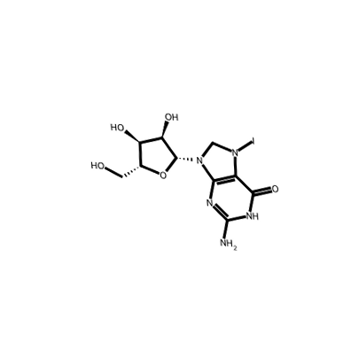 Nc1nc2c(c(=O)[nH]1)N(I)CN2[C@@H]1O[C@H](CO)[C@@H](O)[C@H]1O